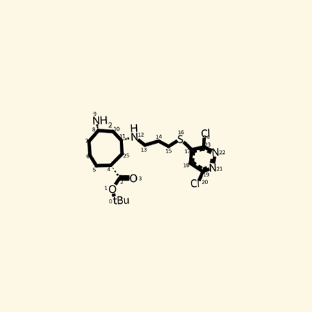 CC(C)(C)OC(=O)[C@@H]1CCC[C@H](N)C[C@H](NCCCSc2cc(Cl)nnc2Cl)C1